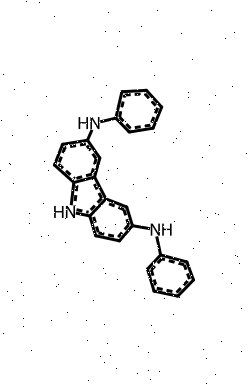 c1ccc(Nc2ccc3[nH]c4ccc(Nc5ccccc5)cc4c3c2)cc1